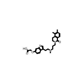 Cc1ccc2c(c1C)CCN(CCCN(C)CCc1csc3cc(OCC(=O)O)ccc13)C2=O